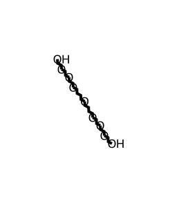 OCCOCCOCCOCCCCOCCCCOCCOCCOCCO